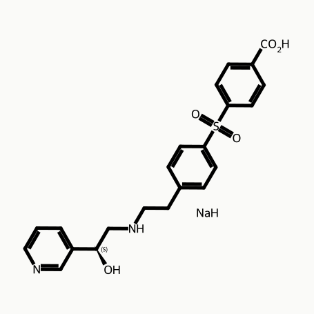 O=C(O)c1ccc(S(=O)(=O)c2ccc(CCNC[C@@H](O)c3cccnc3)cc2)cc1.[NaH]